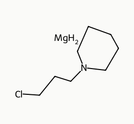 ClCCCN1CCCCC1.[MgH2]